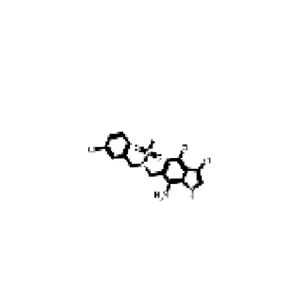 CS(=O)(=O)N(Cc1cccc(Cl)c1)Cc1cc(Cl)c2c(Cl)c[nH]c2c1N